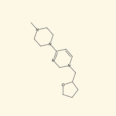 CN1CCN(C2=NCN(CC3CCCO3)C=C2)CC1